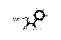 COOC(=O)C(=N)c1ccccc1